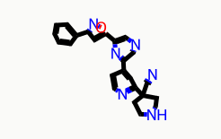 N#CC1(c2cc(-c3cncc(-c4cc(-c5ccccc5)no4)n3)ccn2)CCNCC1